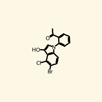 CC(=O)c1ccccc1-n1cc(O)c2c(Cl)c(Br)ccc21